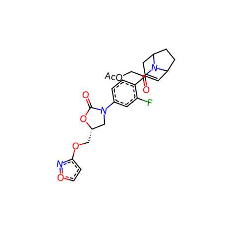 CC(=O)OCC(=O)N1C2C=C(c3ccc(N4C[C@H](COc5ccon5)OC4=O)cc3F)CC1CC2